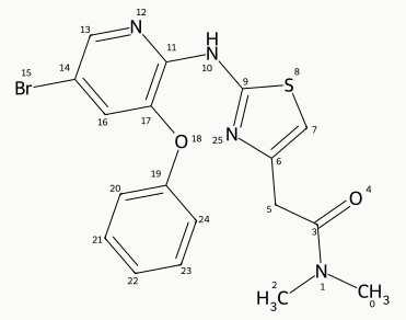 CN(C)C(=O)Cc1csc(Nc2ncc(Br)cc2Oc2ccccc2)n1